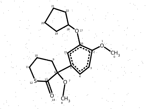 COc1ccc(C2(OC)CCCSC2=O)cc1OC1CCCC1